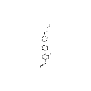 CCCCCc1ccc(-c2ccc(-c3ncc(N=C=S)cc3F)cc2)cc1